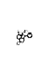 O=CN1c2c(Br)ccc3c2C(CCC3=O)C1c1ccccc1